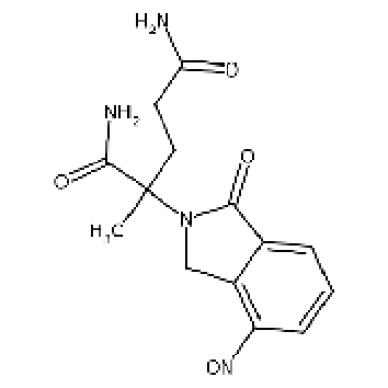 CC(CCC(N)=O)(C(N)=O)N1Cc2c(N=O)cccc2C1=O